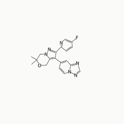 CC1(C)Cn2nc(-c3ccc(F)cn3)c(-c3ccn4ncnc4c3)c2CO1